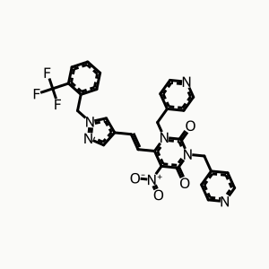 O=c1c([N+](=O)[O-])c(/C=C/c2cnn(Cc3ccccc3C(F)(F)F)c2)n(Cc2ccncc2)c(=O)n1Cc1ccncc1